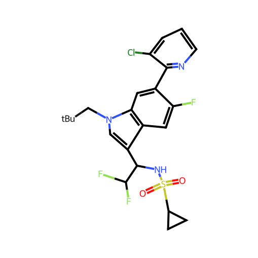 CC(C)(C)Cn1cc(C(NS(=O)(=O)C2CC2)C(F)F)c2cc(F)c(-c3ncccc3Cl)cc21